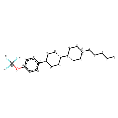 CCCCC[Si@H]1CC[C@H]([C@H]2CC[C@H](c3ccc(OC(F)(F)F)cc3)CC2)CC1